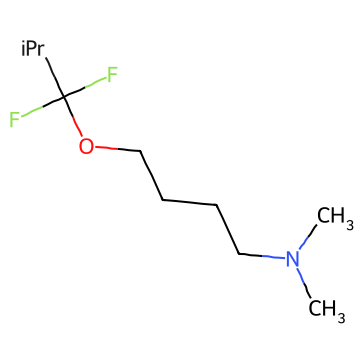 CC(C)C(F)(F)OCCCCN(C)C